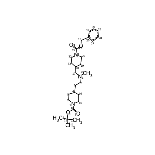 CN(CCC1CCN(C(=O)OC(C)(C)C)CC1)CC1CCN(C(=O)OCc2ccccc2)CC1